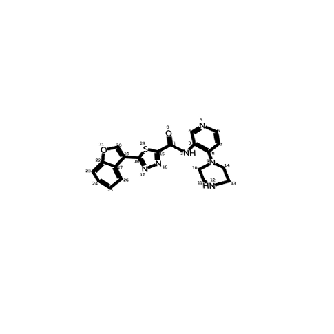 O=C(Nc1cnccc1N1CCNCC1)c1nnc(-c2coc3ccccc23)s1